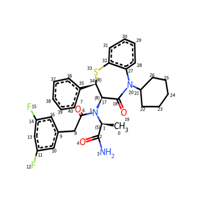 C[C@@H](C(N)=O)N(C(=O)Cc1cc(F)cc(F)c1)[C@@H]1C(=O)N(C2CCCCC2)c2ccccc2S[C@@H]1c1ccccc1